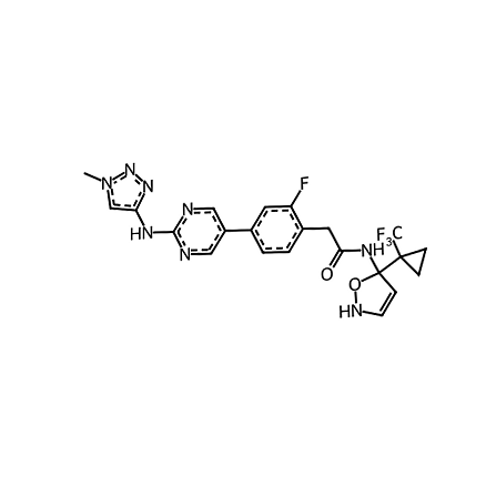 Cn1cc(Nc2ncc(-c3ccc(CC(=O)NC4(C5(C(F)(F)F)CC5)C=CNO4)c(F)c3)cn2)nn1